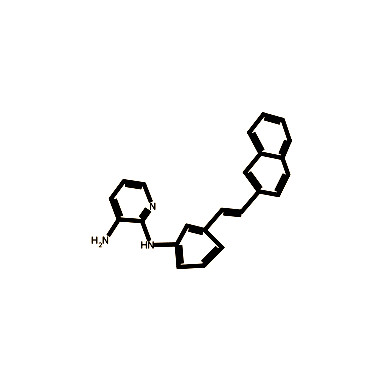 Nc1cccnc1Nc1cccc(C=Cc2ccc3ccccc3c2)c1